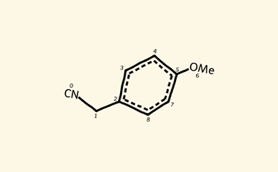 [C-]#[N+]Cc1ccc(OC)cc1